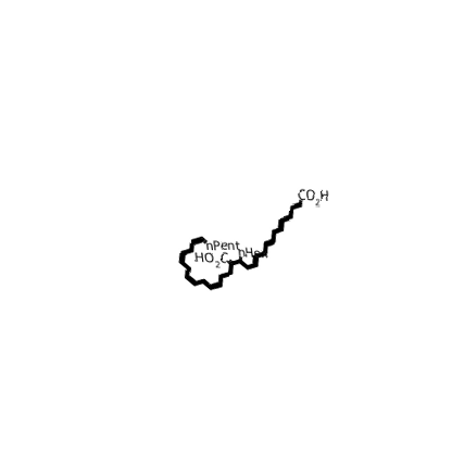 CCCCC/C=C\C/C=C\C/C=C\C/C=C\CCC(C(=O)O)C(CC=CCC=CCC=CCCCC(=O)O)CCCCCC